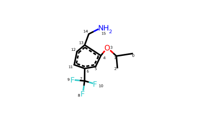 CC(C)Oc1cc(C(F)(F)F)ccc1CN